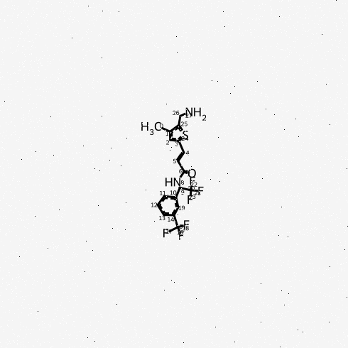 Cc1cc(/C=C/C(=O)NC(c2cccc(C(F)(F)F)c2)C(F)(F)F)sc1CN